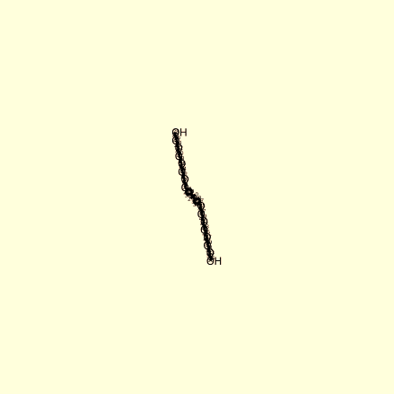 CC(C)(c1ccc(OCCOCCOCCOCCOCCOCCOCCO)cc1)c1ccc(OCCOCCOCCOCCOCCOCCOCCO)cc1